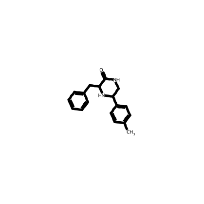 Cc1ccc(C2CNC(=O)C(Cc3ccccc3)N2)cc1